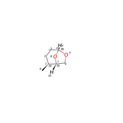 C[C@H]1C[C][C@@H]2OC[C@H]1O2